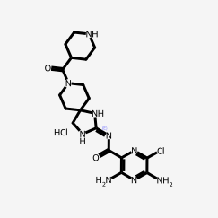 Cl.Nc1nc(N)c(C(=O)/N=C2\NCC3(CCN(C(=O)C4CCNCC4)CC3)N2)nc1Cl